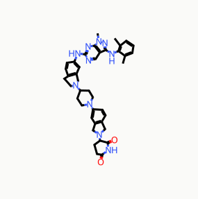 Cc1cccc(C)c1Nc1nn(C)c2nc(Nc3ccc4c(c3)CN(C3CCN(c5ccc6c(c5)CN(C5CCC(=O)NC5=O)C6)CC3)CC4)ncc12